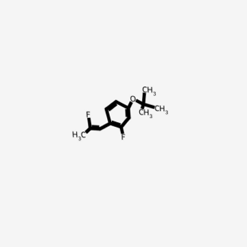 CC(F)=Cc1ccc(OC(C)(C)C)cc1F